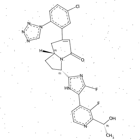 C[C@@H](O)c1nccc(-c2[nH]c([C@@H]3CC[C@@H]4CC(c5cc(Cl)ccc5-n5cnnn5)=CC(=O)N43)nc2F)c1F